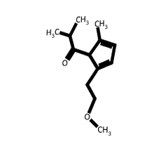 COCCC1=CC=C(C)C1C(=O)C(C)C